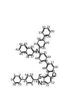 c1ccc(-c2ccc(-c3nc4ccc5oc6ccc(-c7ccc(N(c8ccc(-c9ccccc9)cc8)c8ccc9ccccc9c8)cc7)cc6c5c4s3)cc2)cc1